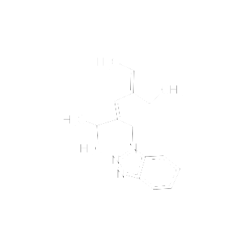 C/C=C(\C=C(/Cn1nnc2ccccc21)C(C)C)CC